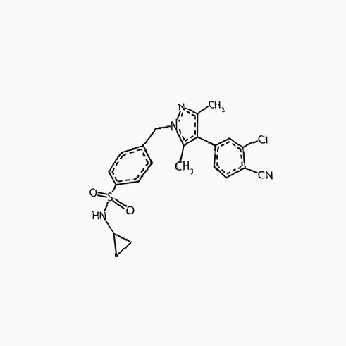 Cc1nn(Cc2ccc(S(=O)(=O)NC3CC3)cc2)c(C)c1-c1ccc(C#N)c(Cl)c1